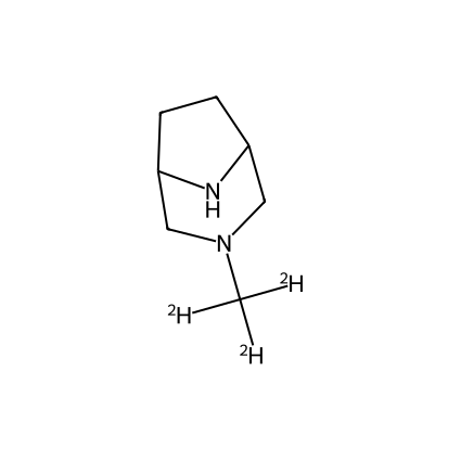 [2H]C([2H])([2H])N1CC2CCC(C1)N2